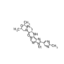 CCn1c(-c2cnc(C)nc2)nc2c(N[C@H](CC(C)C)C(=O)N3CC(C)OC(C)C3)ncnc21